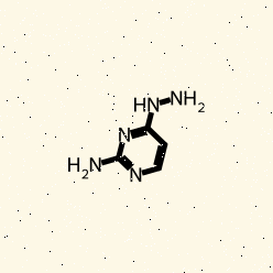 NNc1ccnc(N)n1